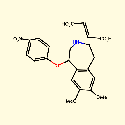 COc1cc2c(cc1OC)C(Oc1ccc([N+](=O)[O-])cc1)CNCC2.O=C(O)C=CC(=O)O